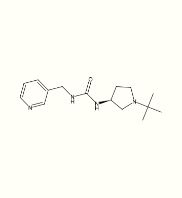 CC(C)(C)N1CC[C@H](NC(=O)NCc2cccnc2)C1